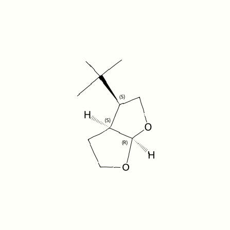 CC(C)(C)[C@H]1CO[C@H]2OCC[C@H]21